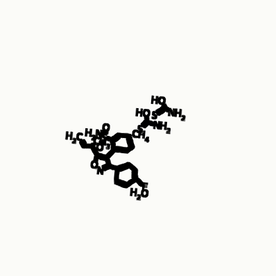 C.C=CC(C)c1onc(-c2ccc(F)cc2)c1-c1ccccc1S(N)(=O)=O.NC(O)=S.NC(O)=S.O